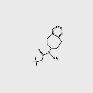 CC(C)(C)OC(=O)N(N)C1CCc2ccccc2CC1